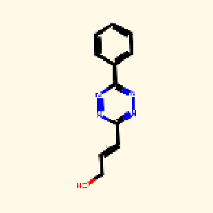 OC/C=C/c1nnc(-c2ccccc2)nn1